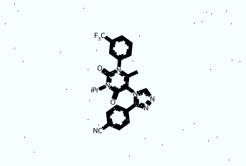 Cc1c(-n2cnnc2-c2ccc(C#N)cc2)c(=O)n(C(C)C)c(=O)n1-c1cccc(C(F)(F)F)c1